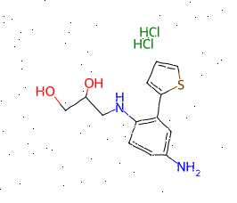 Cl.Cl.Nc1ccc(NCC(O)CO)c(-c2cccs2)c1